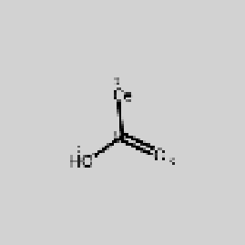 O=[C](O)[Ce]